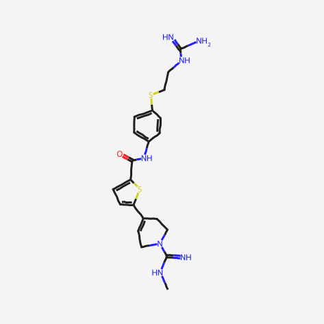 CNC(=N)N1CC=C(c2ccc(C(=O)Nc3ccc(SCCNC(=N)N)cc3)s2)CC1